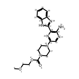 COCCOC(=O)N1CCN(c2cnc(N)c(-c3nc4ccccc4[nH]3)n2)CC1